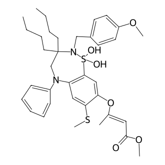 CCCCC1(CCCC)CN(c2ccccc2)c2cc(SC)c(O/C(C)=C/C(=O)OC)cc2S(O)(O)N1Cc1ccc(OC)cc1